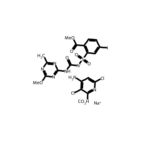 COC(=O)c1ccc(I)cc1S(=O)(=O)[N-]C(=O)Nc1nc(C)nc(OC)n1.Nc1cc(Cl)nc(C(=O)O)c1Cl.[Na+]